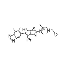 Cc1c(-c2[nH]c3sc(N4CCN(CC5CC5)C[C@@H]4C)nc3c2C(C)C)cn2ncnc2c1C